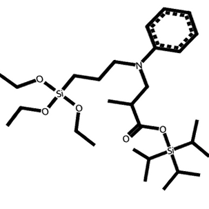 CCO[Si](CCCN(CC(C)C(=O)O[Si](C(C)C)(C(C)C)C(C)C)c1ccccc1)(OCC)OCC